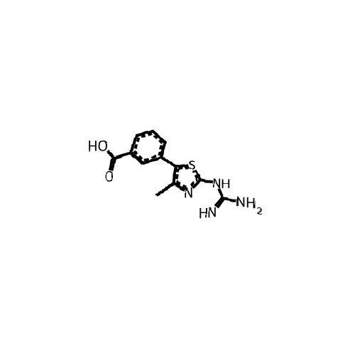 Cc1nc(NC(=N)N)sc1-c1cccc(C(=O)O)c1